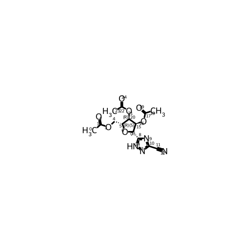 CC(=O)OC[C@H]1O[C@@H](c2nc(C#N)n[nH]2)[C@H](OC(C)=O)[C@@H]1OC(C)=O